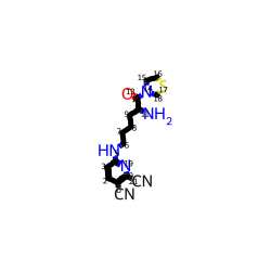 N#Cc1ccc(NCCCCC(N)C(=O)N2CCSC2)nc1C#N